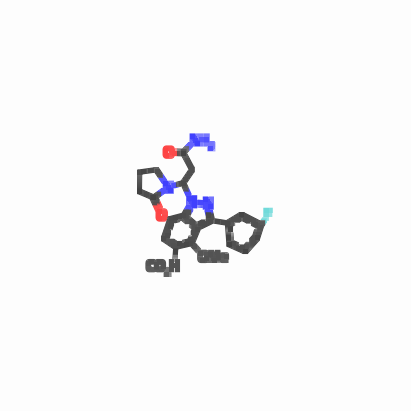 COc1c(C(=O)O)ccc2c1c(-c1cccc(F)c1)nn2C(CC(N)=O)N1CCCC1=O